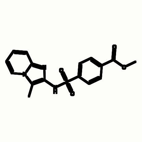 COC(=O)c1ccc(S(=O)(=O)Nc2nc3ccccn3c2C)cc1